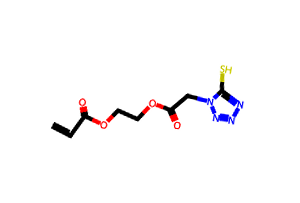 C=CC(=O)OCCOC(=O)Cn1nnnc1S